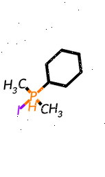 C[PH](C)(I)C1CCCCC1